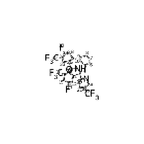 O=C(N[C@](Cc1ccccc1)(c1cc(F)cc(C(F)(F)F)c1)c1ccc(C(F)(F)F)cn1)c1ccc(F)c(C(F)(F)F)c1